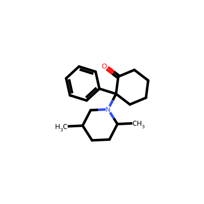 CC1CCC(C)N(C2(c3ccccc3)CCCCC2=O)C1